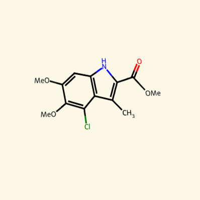 COC(=O)c1[nH]c2cc(OC)c(OC)c(Cl)c2c1C